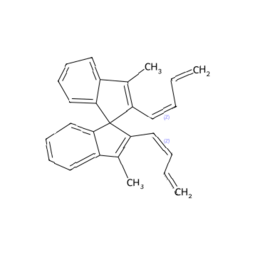 C=C/C=C\C1=C(C)c2ccccc2C12C(/C=C\C=C)=C(C)c1ccccc12